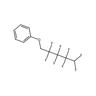 FC(F)C(F)(F)C(F)(F)C(F)(F)COc1ccccc1